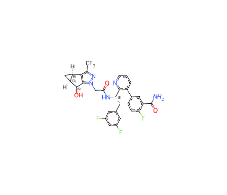 NC(=O)c1cc(-c2cccnc2[C@H](Cc2cc(F)cc(F)c2)NC(=O)Cn2nc(C(F)(F)F)c3c2[C@@H](O)[C@H]2C[C@@H]32)ccc1F